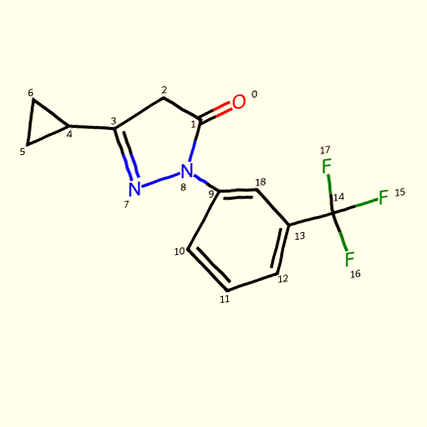 O=C1CC(C2CC2)=NN1c1cccc(C(F)(F)F)c1